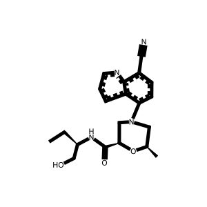 CC[C@H](CO)NC(=O)[C@H]1CN(c2ccc(C#N)c3ncccc23)C[C@@H](C)O1